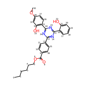 CCCCCCOC(=O)c1ccc(-c2nc(-c3ccccc3O)nc(-c3ccc(OC)cc3O)n2)cc1